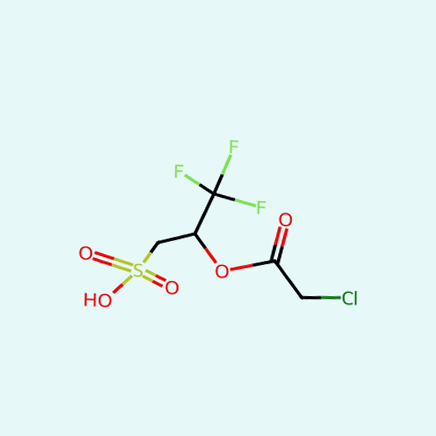 O=C(CCl)OC(CS(=O)(=O)O)C(F)(F)F